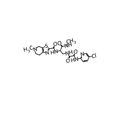 CNC(=O)C(CNC(=O)C(=O)Nc1ccc(Cl)cn1)NC(=O)c1nc2c(s1)CN(C)CC2